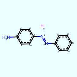 I.Nc1ccc(N=Nc2ccccc2)cc1